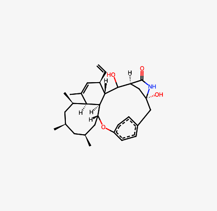 C=C[C@@H]1C=C(C)[C@H]2[C@H]3[C@H]1C(O)[C@@H]1C[C@](O)(Cc4ccc(cc4)O[C@@H]3C[C@@H](C)C[C@@H](C)C[C@H]2C)NC1=O